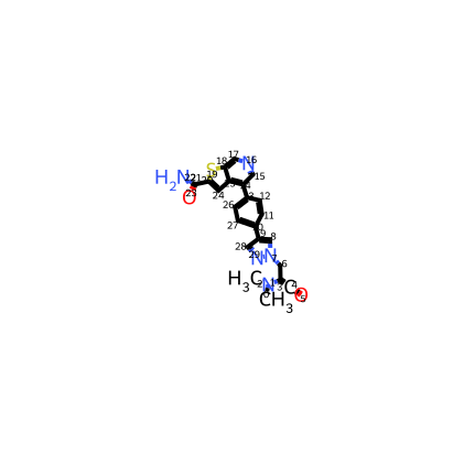 CN(C)C(=C=O)Cn1cc(-c2ccc(-c3cncc4sc(C(N)=O)cc34)cc2)cn1